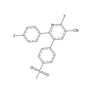 CS(=O)(=O)c1ccc(-c2cc(C#N)c(F)nc2-c2ccc(F)cc2)cc1